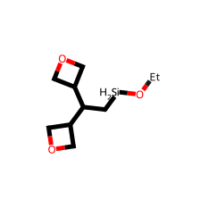 CCO[SiH2]CC(C1COC1)C1COC1